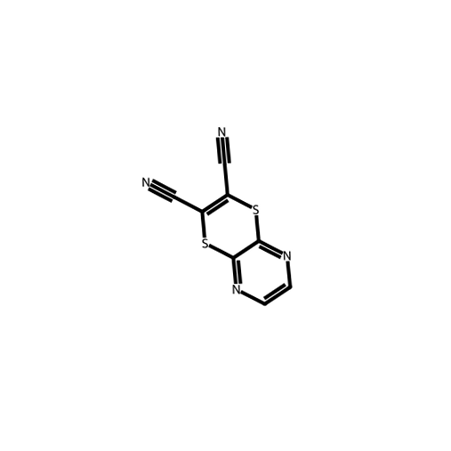 N#CC1=C(C#N)Sc2nccnc2S1